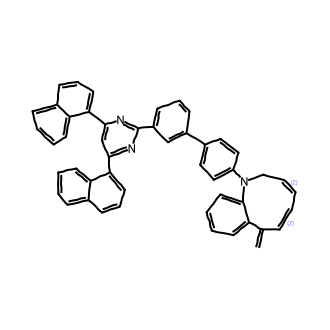 C=C1/C=C\C=C/CN(c2ccc(-c3cccc(-c4nc(-c5cccc6ccccc56)cc(-c5cccc6ccccc56)n4)c3)cc2)c2ccccc21